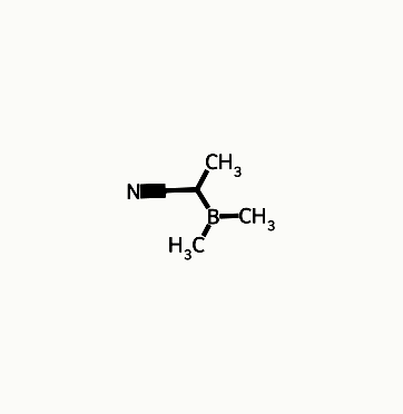 CB(C)C(C)C#N